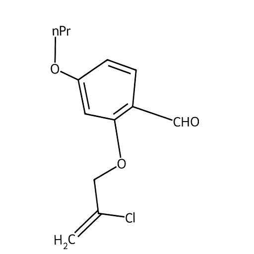 C=C(Cl)COc1cc(OCCC)ccc1C=O